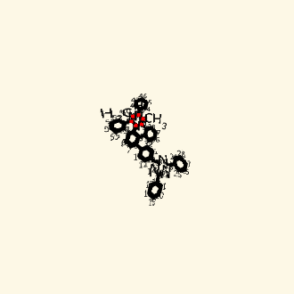 CC1=CC(c2cccc(-c3ccc(-c4nc(-c5ccccc5)nc(-c5ccccc5)n4)cc3)c2-c2ccccc2-c2nc(-c3ccccc3)nc(-c3ccccc3)n2)=CC(C)N1